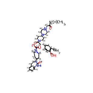 Bc1cc(C[C@@H](OC(=O)N2CCC(N3CCc4ccccc4NC3=O)CC2)C(=O)N2CCC(N3CCN(CC(=O)N(C)O)CC3)CC2)ccc1O